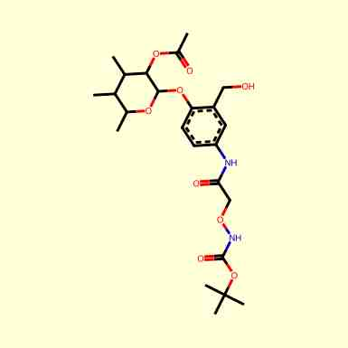 CC(=O)OC1C(Oc2ccc(NC(=O)CONC(=O)OC(C)(C)C)cc2CO)OC(C)C(C)C1C